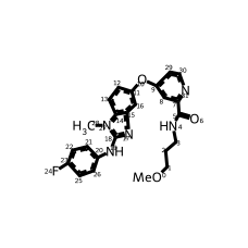 COCCCNC(=O)c1cc(Oc2ccc3c(c2)nc(Nc2ccc(F)cc2)n3C)ccn1